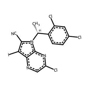 C[C@H](c1ccc(Cl)cc1Cl)n1c(C#N)c(I)c2ncc(Cl)nc21